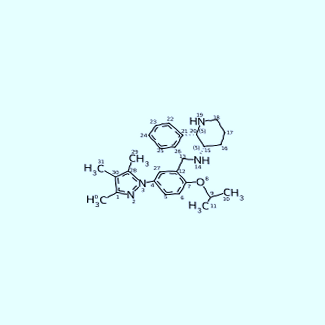 Cc1nn(-c2ccc(OC(C)C)c(CN[C@H]3CCCN[C@H]3c3ccccc3)c2)c(C)c1C